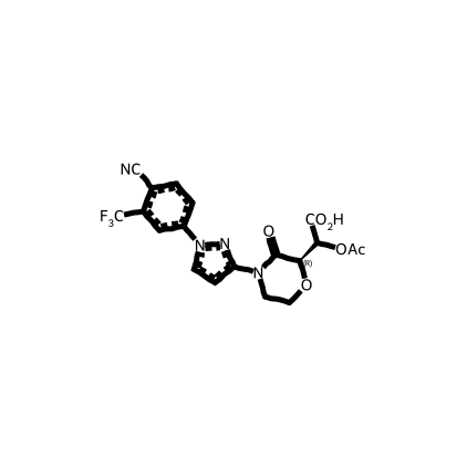 CC(=O)OC(C(=O)O)[C@H]1OCCN(c2ccn(-c3ccc(C#N)c(C(F)(F)F)c3)n2)C1=O